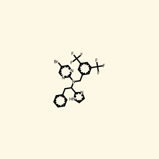 FC(F)(F)c1cc(CN(c2ncc(Br)cn2)C(Cc2ccccc2)c2ncc[nH]2)cc(C(F)(F)F)c1